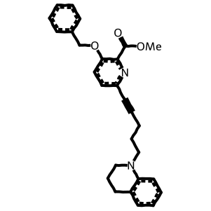 COC(=O)c1nc(C#CCCCN2CCCc3ccccc32)ccc1OCc1ccccc1